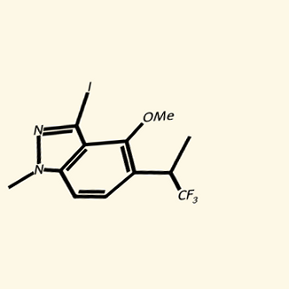 COc1c(C(C)C(F)(F)F)ccc2c1c(I)nn2C